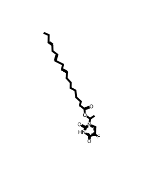 CCC=CCC=CCC=CCCCCCCCC(=O)OC(C)n1cc(F)c(=O)[nH]c1=O